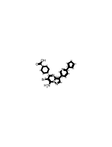 Nc1c(Br)c([C@H]2CC[C@H](C(=O)O)CC2)nc2c(-c3ccc(C4=CCC=C4)nc3)cnn12